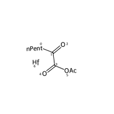 CCCCCC(=O)C(=O)OC(C)=O.[Hf]